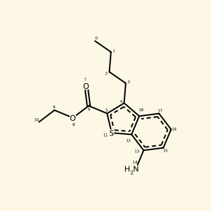 CCCCc1c(C(=O)OCC)sc2c(N)cccc12